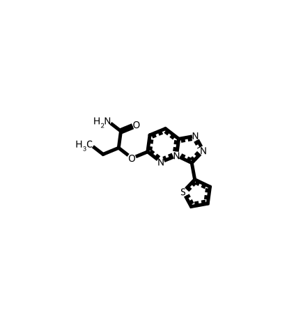 CCC(Oc1ccc2nnc(-c3cccs3)n2n1)C(N)=O